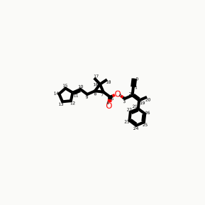 C#CC(COC(=O)C1C(CC=C2CCCC2)C1(C)C)=C(C)c1ccccc1